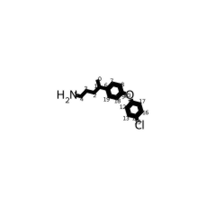 CC(CCCN)c1ccc(Oc2ccc(Cl)cc2)cc1